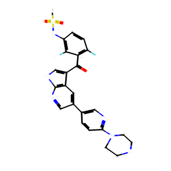 CCC(C)S(=O)(=O)Nc1ccc(F)c(C(=O)c2c[nH]c3ncc(-c4ccc(N5CCNCC5)nc4)cc23)c1F